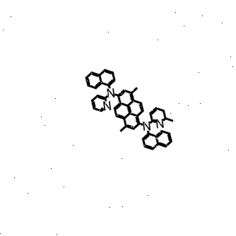 Cc1cc(N(C2=NC(C)CC=C2)c2cccc3ccccc23)c2ccc3c(C)cc(N(c4ccccn4)c4cccc5ccccc45)c4ccc1c2c34